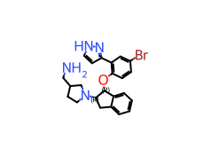 NCC1CCN([C@@H]2Cc3ccccc3[C@H]2Oc2ccc(Br)cc2-c2cc[nH]n2)C1